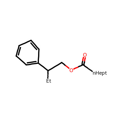 CCCCCCCC(=O)OCC(CC)c1ccccc1